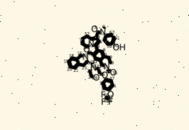 CN(C(=O)c1cc(-c2cc3c(cc2C(=O)N2Cc4ccccc4C[C@H]2CN2CCOCC2)CN(C(=O)Oc2ccc(OC(F)(F)F)cc2)CC3)n2c1CCCC2)c1ccc(O)cc1